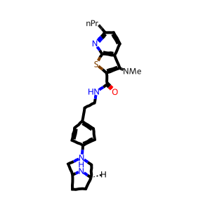 CCCc1ccc2c(NC)c(C(=O)NCCc3ccc(N4CC5CC[C@H](C4)N5)cc3)sc2n1